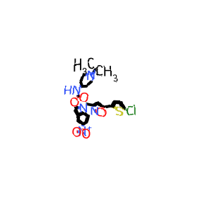 CC(C)N1CCC(NC(=O)Oc2cc3cc([N+](=O)[O-])ccc3n2Cc2cc(-c3ccc(Cl)s3)on2)CC1